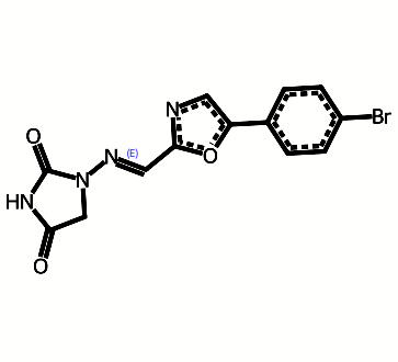 O=C1CN(/N=C/c2ncc(-c3ccc(Br)cc3)o2)C(=O)N1